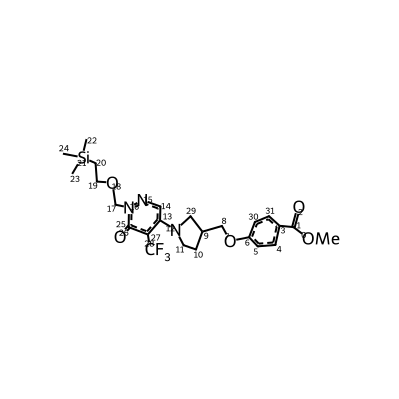 COC(=O)c1ccc(OCC2CCN(c3cnn(COCC[Si](C)(C)C)c(=O)c3C(F)(F)F)C2)cc1